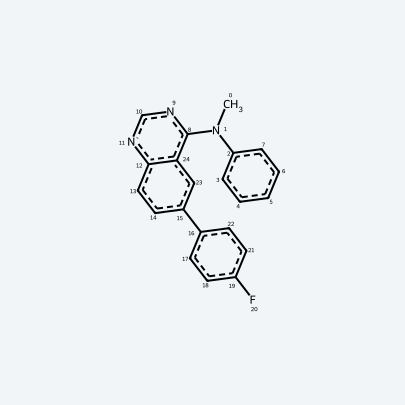 CN(c1ccccc1)c1ncnc2ccc(-c3ccc(F)cc3)cc12